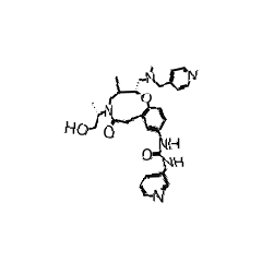 CC1CN([C@@H](C)CO)C(=O)Cc2cc(NC(=O)Nc3cccnc3)ccc2O[C@H]1CN(C)Cc1ccncc1